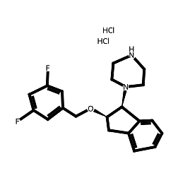 Cl.Cl.Fc1cc(F)cc(CO[C@@H]2Cc3ccccc3[C@@H]2N2CCNCC2)c1